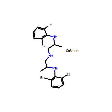 CCc1cccc(CC)c1NC(C)CNCC(C)Nc1c(CC)cccc1CC.[Br-].[Br-].[Co+2]